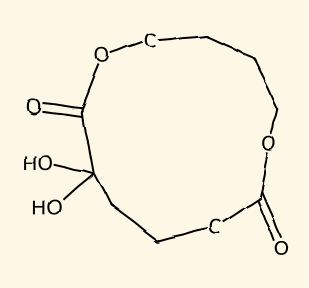 O=C1CCCC(O)(O)C(=O)OCCCCO1